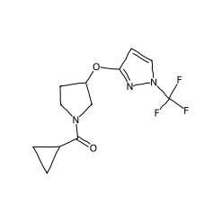 O=C(C1CC1)N1CCC(Oc2ccn(C(F)(F)F)n2)C1